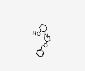 O[C@H]1CCCC[C@@H]1N1CC[C@@H](OCc2ccccc2)C1